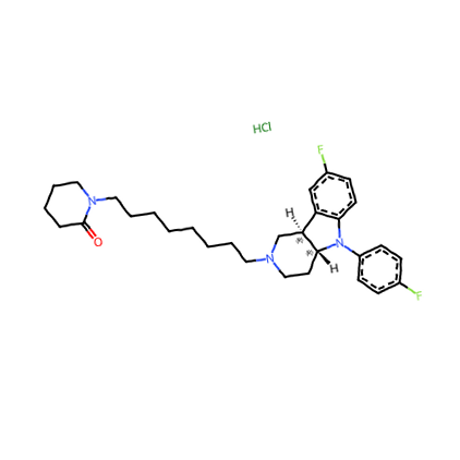 Cl.O=C1CCCCN1CCCCCCCCN1CC[C@@H]2[C@@H](C1)c1cc(F)ccc1N2c1ccc(F)cc1